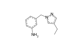 CCc1cnn(Cc2cccc(N)c2)c1